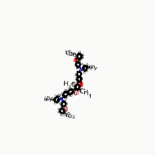 Cc1c2oc3cc4cc(N(c5ccc(C(C)C)cc5)c5ccc6oc7c(C(C)(C)C)cccc7c6c5)ccc4cc3c2c(C)c2c1oc1cc3cc(N(c4ccc(C(C)C)cc4)c4ccc5oc6c(C(C)(C)C)cccc6c5c4)ccc3cc12